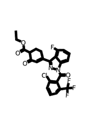 CCOC(=O)C1CCC(c2nn(C(=O)c3c(Cl)cccc3C(F)(F)F)c3cccc(F)c23)=CC1=O